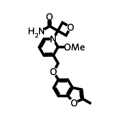 COC1C(COc2ccc3oc(C)cc3c2)=CC=CN1C1(C(N)=O)COC1